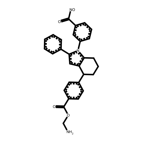 NCOC(=O)c1ccc(C2CCCc3c2cc(-c2ccccc2)n3-c2cccc(C(=O)N=O)c2)cc1